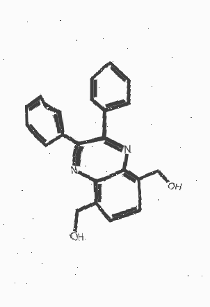 OCc1ccc(CO)c2nc(-c3ccccc3)c(-c3ccccc3)nc12